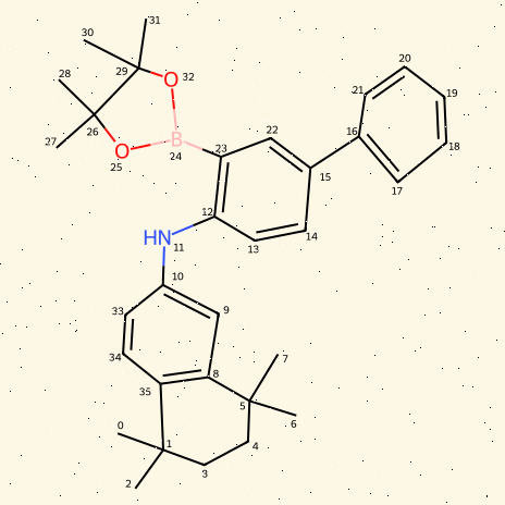 CC1(C)CCC(C)(C)c2cc(Nc3ccc(-c4ccccc4)cc3B3OC(C)(C)C(C)(C)O3)ccc21